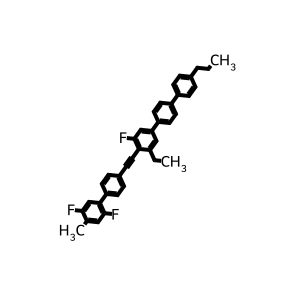 CCCc1ccc(-c2ccc(-c3cc(F)c(C#Cc4ccc(-c5cc(F)c(C)cc5F)cc4)c(CC)c3)cc2)cc1